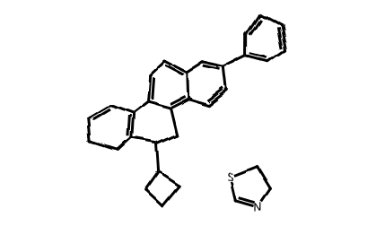 C1=CC2=C(CC1)C(C1CCC1)Cc1c2ccc2cc(-c3ccccc3)ccc12.C1=NCCS1